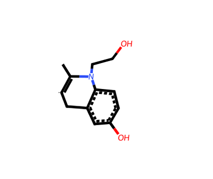 CC1=[C]Cc2cc(O)ccc2N1CCO